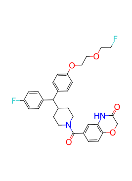 O=C1COc2ccc(C(=O)N3CCC(C(c4ccc(F)cc4)c4ccc(OCCOCCF)cc4)CC3)cc2N1